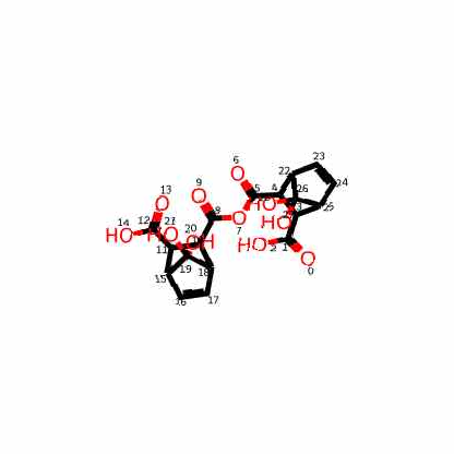 O=C(O)C1C(C(=O)OC(=O)C2C(C(=O)O)C3C=CC2C3(O)O)C2C=CC1C2(O)O